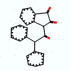 O=C1C(=O)C(C(=O)C(c2ccccc2)c2ccccc2)c2ccccc21